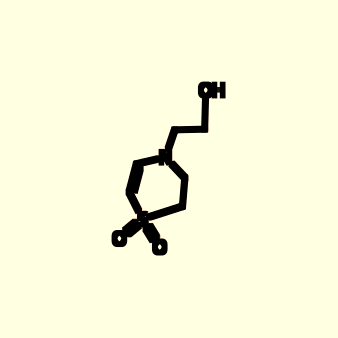 O=S1(=O)C=CN(CCO)CC1